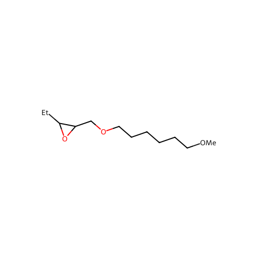 CCC1OC1COCCCCCCOC